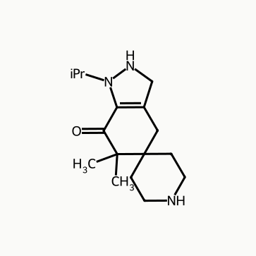 CC(C)N1NCC2=C1C(=O)C(C)(C)C1(CCNCC1)C2